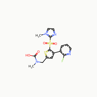 CN(Cc1cc(-c2cccnc2F)c(S(=O)(=O)c2nccn2C)s1)C(=O)O